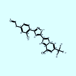 O=CCc1ccc(-c2noc(-c3cn4cc(C(F)(F)F)cc(Cl)c4n3)n2)c(Cl)c1